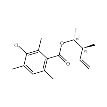 C=C[C@H](C)[C@@H](C)OC(=O)c1c(C)cc(C)c(Cl)c1C